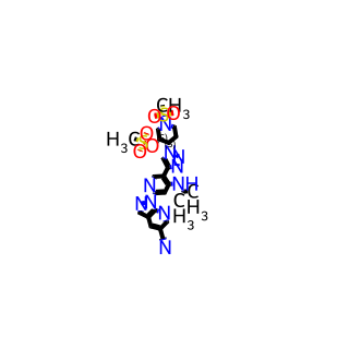 CC(C)Nc1cc(-n2ncc3cc(C#N)cnc32)ncc1-c1cn([C@H]2CCN(S(C)(=O)=O)C[C@@H]2OS(C)(=O)=O)nn1